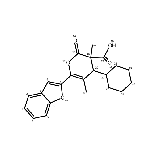 CC1=C(c2cc3ccccc3o2)OC(=O)C(C)(C(=O)O)C1C1CCCCC1